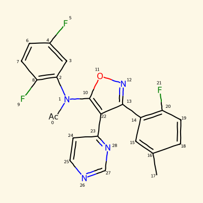 CC(=O)N(c1cc(F)ccc1F)c1onc(-c2cc(C)ccc2F)c1-c1ccncn1